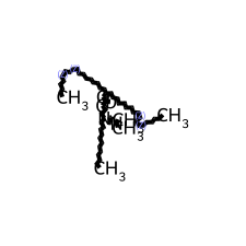 CCCCC/C=C\C/C=C\CCCCCCCCC(CCCCCCCC/C=C\C/C=C\CCCCC)OC(=O)OCCN(CCCCCCCCCCCC)CCN(C)C